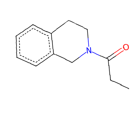 CCC(=O)N1CCc2ccccc2C1